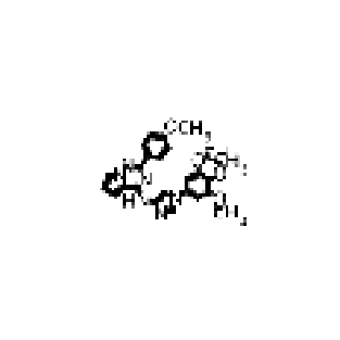 COc1ccc(-c2nc(Nc3cn(-c4cc(OC)c(OC)c(OC)c4)cn3)c3cccn3n2)cc1